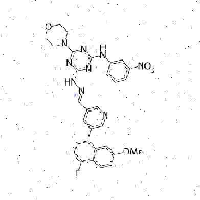 COc1ccc2c(F)ccc(-c3cncc(/C=N/Nc4nc(Nc5cccc([N+](=O)[O-])c5)nc(N5CCOCC5)n4)c3)c2c1